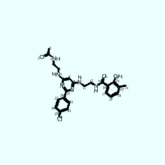 CC(=O)NCCNc1cc(NCCNC(=O)c2cccc(C)c2O)nc(-c2ccc(Cl)cc2)n1